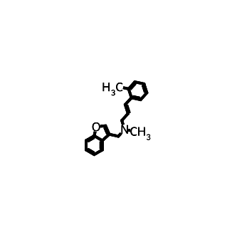 Cc1ccccc1/C=C/CN(C)Cc1coc2ccccc12